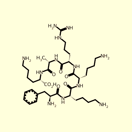 C[C@H](NC(=O)[C@H](CCCNC(=N)N)NC(=O)[C@H](CCCCN)NC(=O)[C@H](CCCCN)NC(=O)[C@@H](N)Cc1ccccc1)C(=O)N[C@@H](CCCCN)C(=O)O